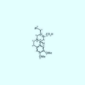 COc1cc2c(cc1OC)[C@H]1C[C@@H](C(=O)O)[C@H](CC(C)C)CN1CC2